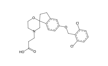 O=C(O)CCN1CCOC2(CCc3cc(OCc4c(Cl)cccc4Cl)ccc32)C1